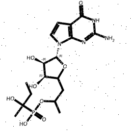 CCC(C)(O)P(=O)(O)OC(C)CC1O[C@@H](n2ccc3c(=O)[nH]c(N)nc32)[C@H](O)[C@@H]1O